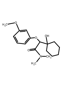 COc1cccc(OC(C(=O)N(C)C)C2(O)CCCCC2)c1